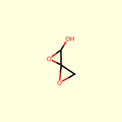 OC1OC12CO2